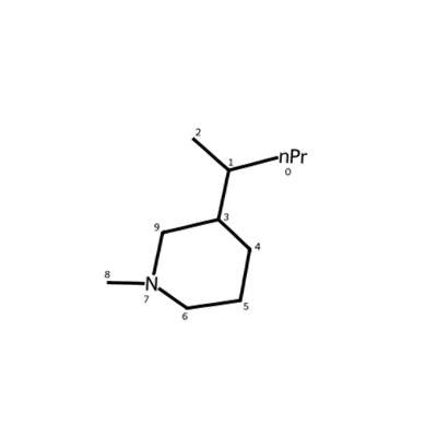 CCCC(C)C1CCCN(C)C1